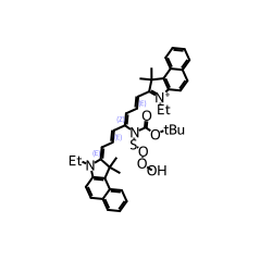 CCN1/C(=C/C=C/C(=C/C=C/C2=[N+](CC)c3ccc4ccccc4c3C2(C)C)N(SOOO)C(=O)OC(C)(C)C)C(C)(C)c2c1ccc1ccccc21